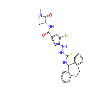 CN1CC[C@@H](NC(=O)c2cnc(NNC(=S)NC3c4ccccc4CCc4ccccc43)c(Cl)c2)C1=O